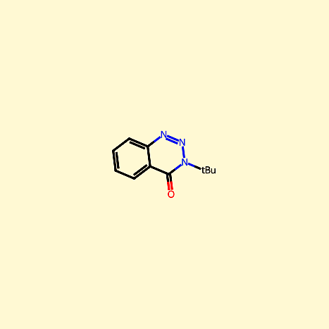 CC(C)(C)n1nnc2ccccc2c1=O